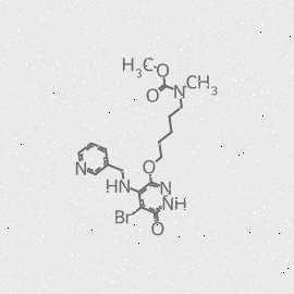 COC(=O)N(C)CCCCCOc1n[nH]c(=O)c(Br)c1NCc1cccnc1